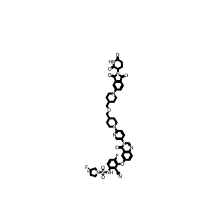 N#Cc1c(NS(=O)(=O)N2CC[C@@H](F)C2)ccc(F)c1Oc1ccc2ncn(-c3ccc(N4CCC(COCC5CCN(c6ccc7c(c6)C(=O)N(C6CCC(=O)NC6=O)C7=O)CC5)CC4)nc3)c(=O)c2c1